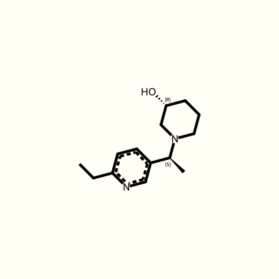 CCc1ccc([C@H](C)N2CCC[C@@H](O)C2)cn1